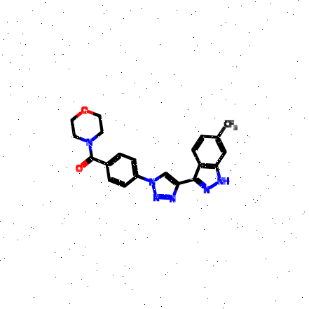 O=C(c1ccc(-n2cc(-c3n[nH]c4cc(C(F)(F)F)ccc34)nn2)cc1)N1CCOCC1